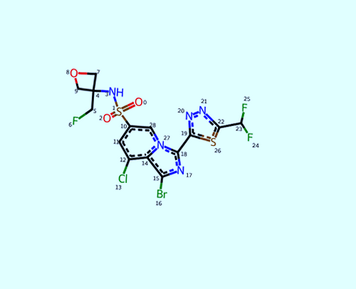 O=S(=O)(NC1(CF)COC1)c1cc(Cl)c2c(Br)nc(-c3nnc(C(F)F)s3)n2c1